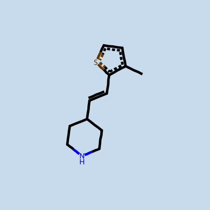 Cc1ccsc1C=CC1CCNCC1